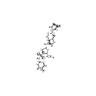 CC1CC(Cn2ccc3cc(-c4cn[nH]c4)ccc32)CN1S(=O)(=O)Cc1ccc(F)cc1